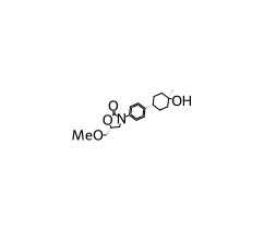 COC[C@H]1CN(c2ccc([C@H]3CC[C@](C)(O)CC3)cc2)C(=O)O1